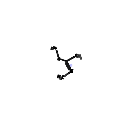 CCCS/C(C)=N\C